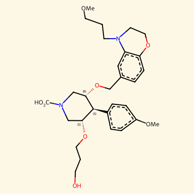 COCCCN1CCOc2ccc(CO[C@H]3CN(C(=O)O)C[C@@H](OCCCO)[C@@H]3c3ccc(OC)cc3)cc21